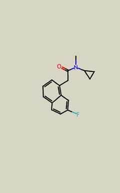 CN(C(=O)Cc1cccc2ccc(F)cc12)C1CC1